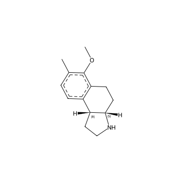 COc1c(C)ccc2c1CC[C@@H]1NCC[C@H]21